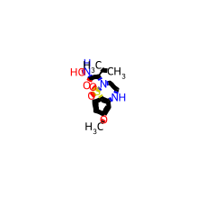 COc1ccc2c(c1)NCCN([C@@H](C(=O)NO)C(C)C)S2(=O)=O